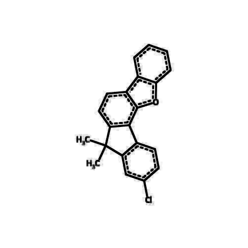 CC1(C)c2cc(Cl)ccc2-c2c1ccc1c2oc2ccccc21